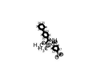 COC(OC)C(NS(=O)(=O)c1ccc([N+](=O)[O-])cc1)c1ccc(-c2ccccc2)cc1